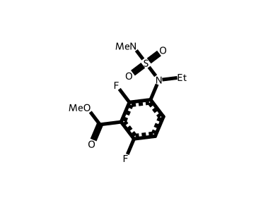 CCN(c1ccc(F)c(C(=O)OC)c1F)S(=O)(=O)NC